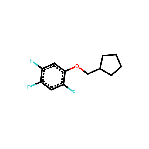 Fc1[c]c(OCC2CCCC2)c(F)cc1F